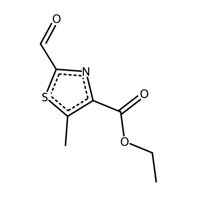 CCOC(=O)c1nc(C=O)sc1C